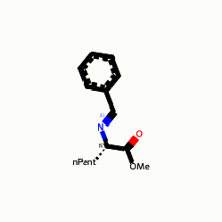 CCCCC[C@H](/N=C/c1ccccc1)C(=O)OC